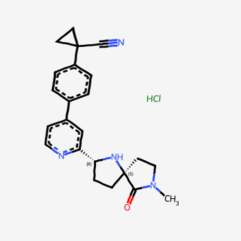 CN1CC[C@@]2(CC[C@H](c3cc(-c4ccc(C5(C#N)CC5)cc4)ccn3)N2)C1=O.Cl